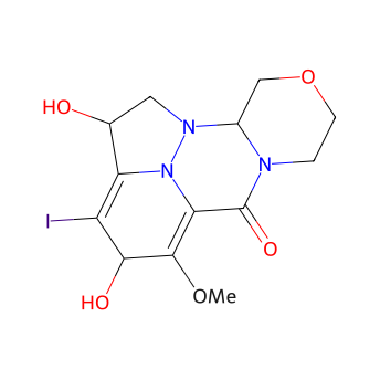 COC1=C2C(=O)N3CCOCC3N3CC(O)C(=C(I)C1O)N23